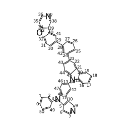 c1ccc(-n2c3ccncc3c3cc(-n4c5ccccc5c5cc(-c6cccc(-c7ccc8oc9ccncc9c8c7)c6)ccc54)ccc32)cc1